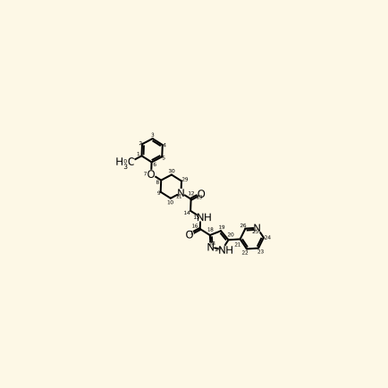 Cc1ccccc1OC1CCN(C(=O)CNC(=O)c2cc(-c3cccnc3)[nH]n2)CC1